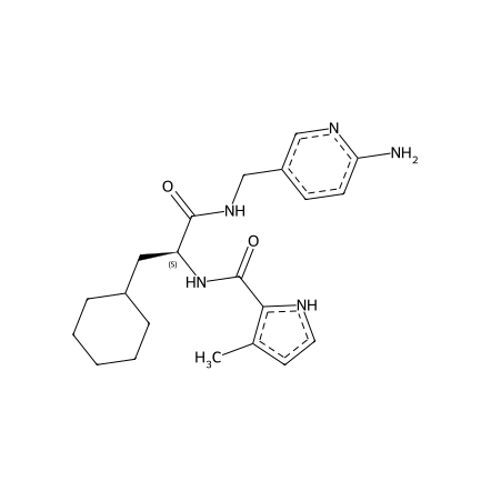 Cc1cc[nH]c1C(=O)N[C@@H](CC1CCCCC1)C(=O)NCc1ccc(N)nc1